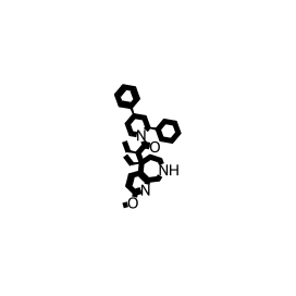 CC[C@@H](C(=O)N1CC[C@@H](c2ccccc2)C[C@H]1C1CCCCC1)[C@]1(CC)CCNCc2nc(OC)ccc21